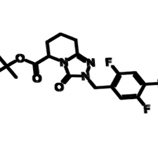 CC(C)(C)OC(=O)C1CCCc2nn(Cc3cc(F)c(F)cc3F)c(=O)n21